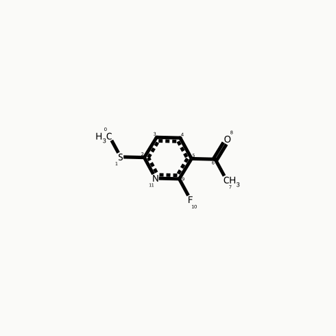 CSc1ccc(C(C)=O)c(F)n1